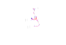 C/C=C/CCC/C=C\C/C=C\CCCCC/C=C/CC(CC/C=C/CCCCC/C=C\CC#C/C=C/CCC)C(=O)CCCCN(C)C